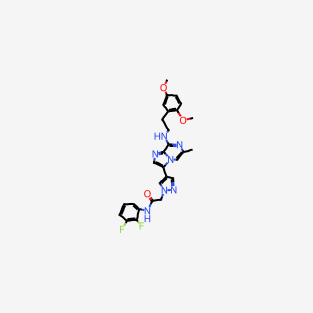 COc1ccc(OC)c(CCNc2nc(C)cn3c(-c4cnn(CC(=O)Nc5cccc(F)c5F)c4)cnc23)c1